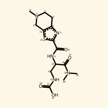 CN1CCc2nc(C(=O)NC(CNC(=O)O)C(=O)N(C)C)sc2C1